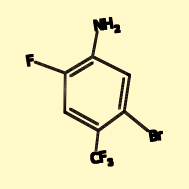 Nc1cc(Br)c(C(F)(F)F)cc1F